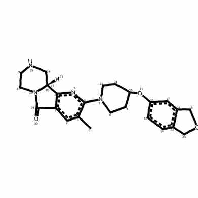 Cc1cc2c(nc1N1CCC(Oc3ccc4c(c3)COC4)CC1)[C@H]1CNCCN1C2=O